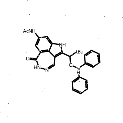 CC(=O)Nc1cc2c3c(c(C(O[SiH](c4ccccc4)c4ccccc4)C(C)(C)C)[nH]c3c1)C=NNC2=O